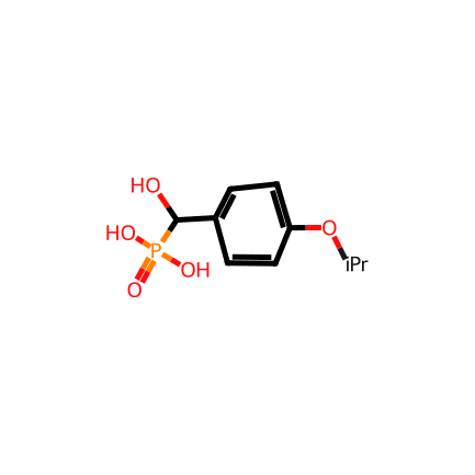 CC(C)Oc1ccc(C(O)P(=O)(O)O)cc1